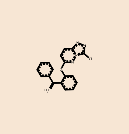 C=C(c1ccccc1)c1ccccc1Oc1ccc2nnc(Cl)n2n1